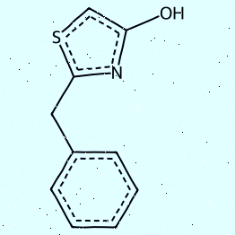 Oc1csc(Cc2ccccc2)n1